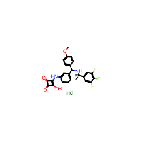 COc1ccc(C(N[C@H](C)c2cc(F)c(F)c(F)c2)c2cccc(Nc3c(O)c(=O)c3=O)c2)cc1.Cl